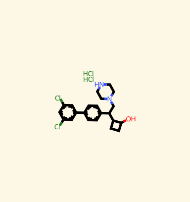 Cl.Cl.OC1CCC1C(CN1CCNCC1)c1ccc(-c2cc(Cl)cc(Cl)c2)cc1